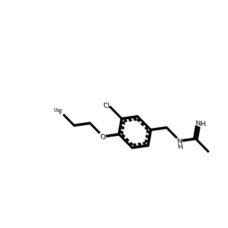 CC(=N)NCc1ccc(OCC[18F])c(Cl)c1